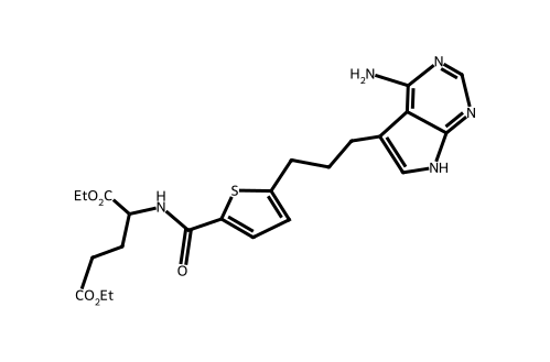 CCOC(=O)CCC(NC(=O)c1ccc(CCCc2c[nH]c3ncnc(N)c23)s1)C(=O)OCC